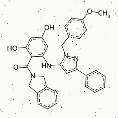 COc1ccc(Cn2nc(-c3ccccc3)cc2Nc2cc(O)cc(O)c2C(=O)N2Cc3cccnc3C2)cc1